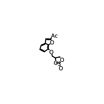 CC(=O)c1cc2cccc(OCC3COS(=O)O3)c2o1